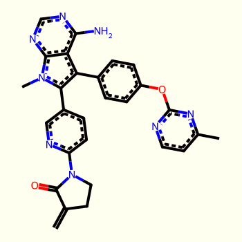 C=C1CCN(c2ccc(-c3c(-c4ccc(Oc5nccc(C)n5)cc4)c4c(N)ncnc4n3C)cn2)C1=O